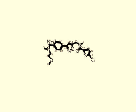 COCCN(C)C(=N)c1ccc(-c2cc(CN(C)C(=O)c3ccc(Cl)s3)on2)cc1